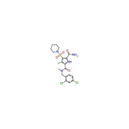 Cc1c(C(=O)N(C)Cc2ccc(Cl)cc2Cl)[nH]c(C(N)=O)c1S(=O)(=O)N1CCCCC1